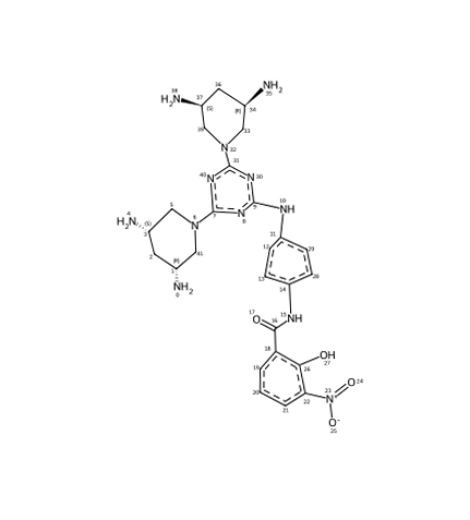 N[C@@H]1C[C@H](N)CN(c2nc(Nc3ccc(NC(=O)c4cccc([N+](=O)[O-])c4O)cc3)nc(N3C[C@H](N)C[C@H](N)C3)n2)C1